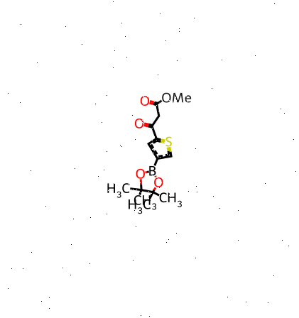 COC(=O)CC(=O)c1cc(B2OC(C)(C)C(C)(C)O2)cs1